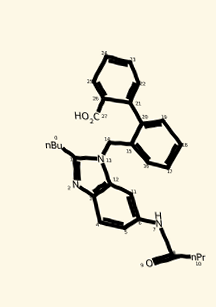 CCCCc1nc2ccc(NC(=O)CCC)cc2n1Cc1ccccc1-c1ccccc1C(=O)O